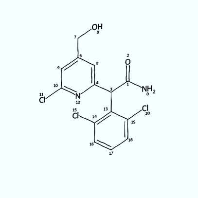 NC(=O)C(c1cc(CO)cc(Cl)n1)c1c(Cl)cccc1Cl